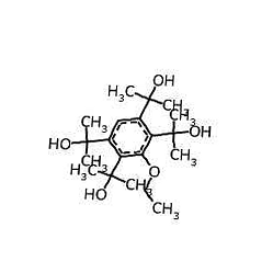 CCOc1c(C(C)(C)O)c(C(C)(C)O)cc(C(C)(C)O)c1C(C)(C)O